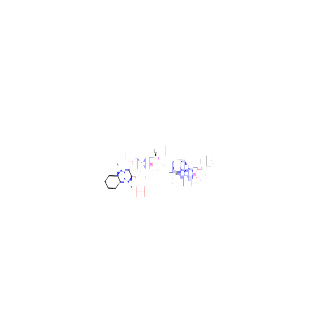 CC(CNC(=O)c1nc2ccccc2nc1O)OCCC(C)(C)NNC(=O)C(C)(C)C